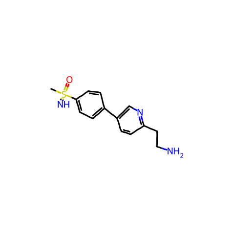 CS(=N)(=O)c1ccc(-c2ccc(CCN)nc2)cc1